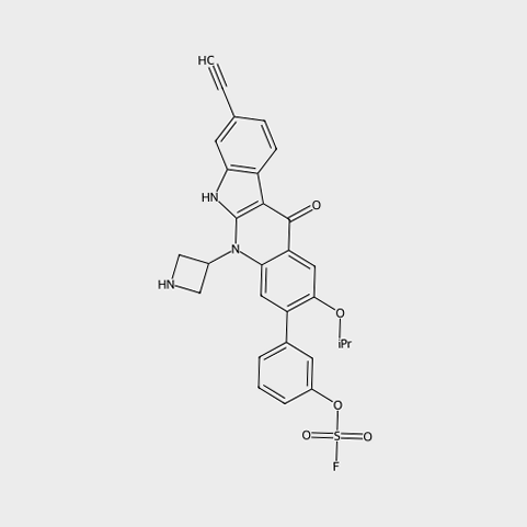 C#Cc1ccc2c(c1)[nH]c1c2c(=O)c2cc(OC(C)C)c(-c3cccc(OS(=O)(=O)F)c3)cc2n1C1CNC1